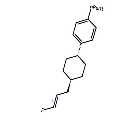 CCCCCc1ccc([C@H]2CC[C@H](C/C=C/F)CC2)cc1